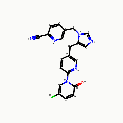 N#Cc1ccc(Cn2cncc2Cc2ccc(-n3cc(Cl)ccc3=O)nc2)cn1